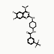 CN(C)c1nc(NC2CCC(NC(=O)c3cccc(C(F)(F)F)c3)CC2)nc2cc(F)c(F)cc12